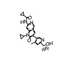 CCC[C@@H](O)c1cc(C)c(-c2cc3cnc(NC(=O)C4CC4)cc3n(C3CC3)c2=O)cn1